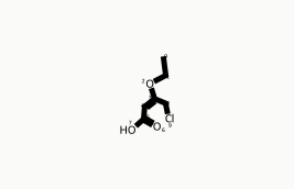 CCOC(=CC(=O)O)CCl